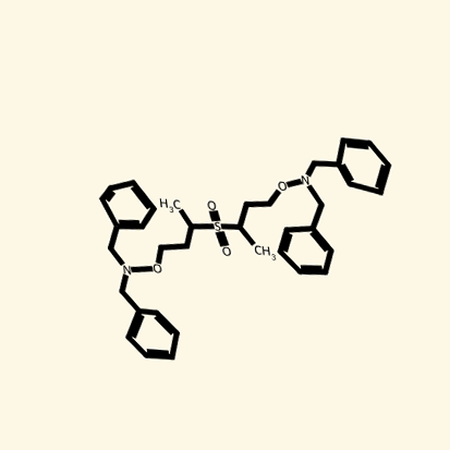 CC(CCON(Cc1ccccc1)Cc1ccccc1)S(=O)(=O)C(C)CCON(Cc1ccccc1)Cc1ccccc1